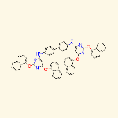 c1ccc2c(Oc3cc(Nc4ccc(-c5ccc(Nc6cc(Oc7cccc8ccccc78)nc(Oc7cccc8ccccc78)n6)cc5)cc4)nc(Oc4cccc5ccccc45)n3)cccc2c1